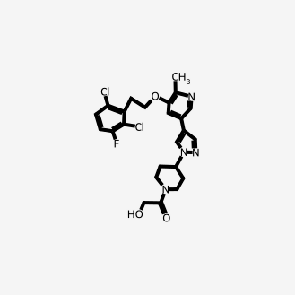 Cc1ncc(-c2cnn(C3CCN(C(=O)CO)CC3)c2)cc1OCCc1c(Cl)ccc(F)c1Cl